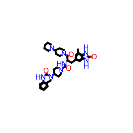 Cc1cc(CC(NC(=O)N2CCC(N3Cc4ccccc4NC3=O)CC2)C(=O)N2CCC(N3CCCCC3)CC2)cc2[nH]c(=O)[nH]c12